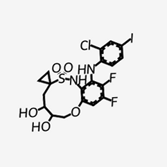 O=S1(=O)Nc2c(cc(F)c(F)c2Nc2ccc(I)cc2Cl)OCC(O)C(O)CC12CC2